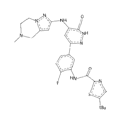 CN1CCn2nc(Nc3cc(-c4ccc(F)c(NC(=O)c5ncc(C(C)(C)C)s5)c4)n[nH]c3=O)cc2C1